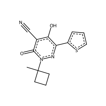 CC1(n2nc(-c3cccs3)c(O)c(C#N)c2=O)CCC1